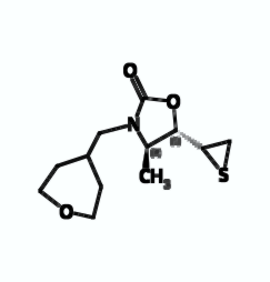 C[C@@H]1[C@@H](C2CS2)OC(=O)N1CC1CCOCC1